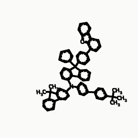 CC(C)(C)c1ccc(-c2ccc(N(c3ccc4c(c3)C(C)(C)c3ccccc3-4)c3cccc4c3-c3ccccc3C4(c3ccccc3)c3ccc(-c4cccc5c4oc4ccccc45)cc3)cc2)cc1